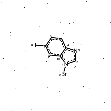 Brn1cnc2ccc(I)cc21